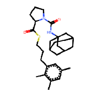 Cc1cc(C)c(C)c(CCCSC(=O)C2CCCN2C(=O)NC23CC4CC(CC(C4)C2)C3)c1